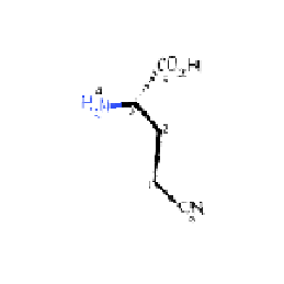 N#CCC[C@H](N)[13C](=O)O